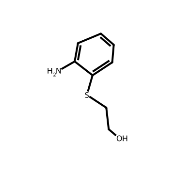 Nc1ccccc1SCCO